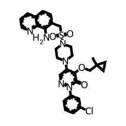 CC1(COc2c(N3CCN(S(=O)(=O)Cc4ccc5cccnc5c4N)CC3)cnn(-c3cccc(Cl)c3)c2=O)CC1